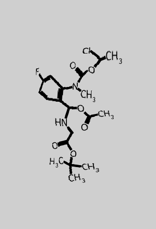 CC(=O)OC(NCC(=O)OC(C)(C)C)c1ccc(F)cc1N(C)C(=O)OC(C)Cl